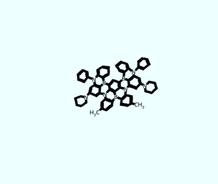 Cc1ccc2c(c1)N1c3cc(N4CCCCC4)cc4c3B(c3ccccc3N4c3ccccc3)c3cc4c5c(c31)B2c1ccc(C)cc1N5c1cc(N2CCCCC2)cc2c1B4c1ccccc1N2c1ccccc1